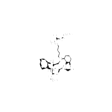 CC(C)(C)OC(=O)NCCCCN(Cc1nc2ccccc2n1C(=O)OC(C)(C)C)C1CCCc2ncn(C(=O)OC(C)(C)C)c21